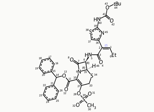 CC/C=C(\C(=O)N[C@@H]1C(=O)N2C(C(=O)OC(c3ccccc3)c3ccccc3)=C(OS(C)(=O)=O)CS[C@H]12)c1csc(NC(=O)OC(C)(C)C)n1